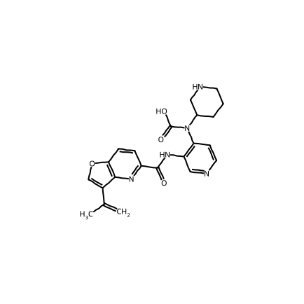 C=C(C)c1coc2ccc(C(=O)Nc3cnccc3N(C(=O)O)C3CCCNC3)nc12